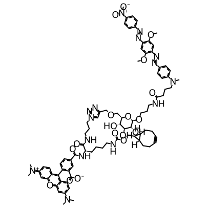 COc1cc(/N=N/c2ccc([N+](=O)[O-])cc2)c(OC)cc1/N=N/c1ccc(N(C)CCCC(=O)NCCCO[C@@H]2O[C@H](COCc3cn(CCCNC(=O)[C@@H](CCCCNC(=O)OCC4[C@H]5CCC#CCC[C@@H]45)NC(=O)c4ccc(-c5c6ccc(=[N+](C)C)cc-6oc6cc(N(C)C)ccc56)c(C(=O)[O-])c4)nn3)[C@@H](O)[C@H](O)[C@H]2O)cc1